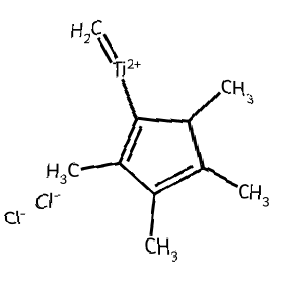 [CH2]=[Ti+2][C]1=C(C)C(C)=C(C)C1C.[Cl-].[Cl-]